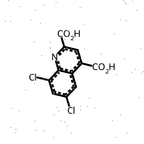 O=C(O)c1cc(C(=O)O)c2cc(Cl)cc(Cl)c2n1